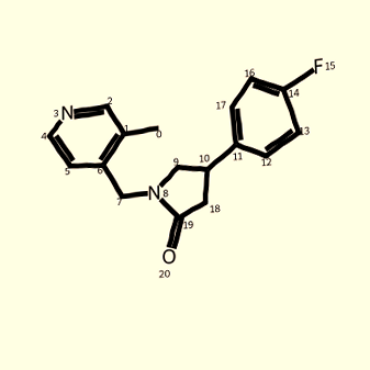 Cc1cnccc1CN1CC(c2ccc(F)cc2)CC1=O